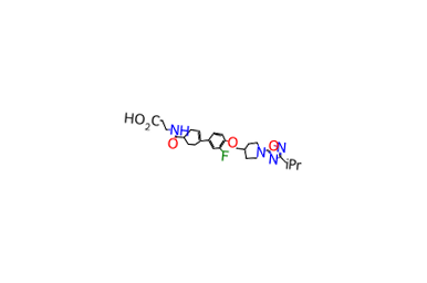 CC(C)c1noc(N2CCC(COc3ccc(C4=CCC(C(=O)NCCC(=O)O)CC4)cc3F)CC2)n1